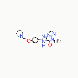 CCCn1c(=O)c2[nH]c(-c3ccc(OCCN4CCCCC4)cc3)nc2n2ccnc12